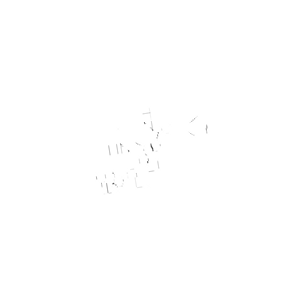 CCOC(OCC)[C@H](CC(=O)OC(C)(C)C)NC(=O)[C@H](CC1CCCC1)NC(=O)OCc1ccccc1